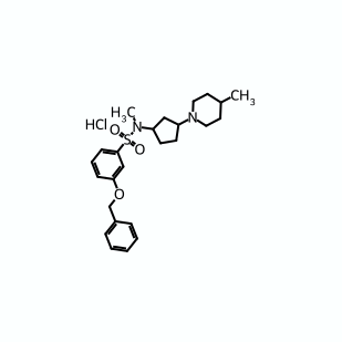 CC1CCN(C2CCC(N(C)S(=O)(=O)c3cccc(OCc4ccccc4)c3)C2)CC1.Cl